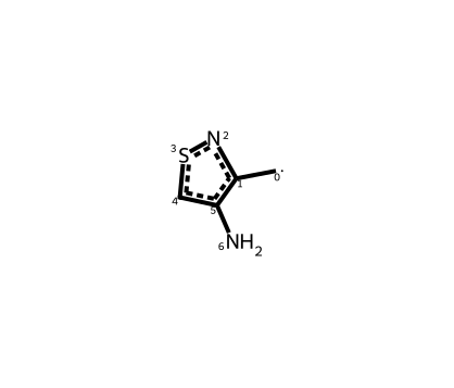 [CH2]c1nscc1N